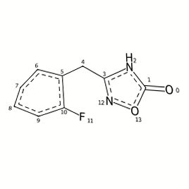 O=c1[nH]c(Cc2ccccc2F)no1